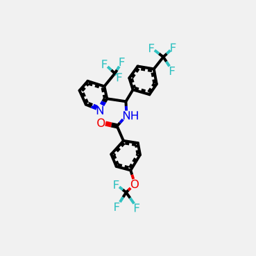 O=C(NC(c1ccc(C(F)(F)F)cc1)c1ncccc1C(F)(F)F)c1ccc(OC(F)(F)F)cc1